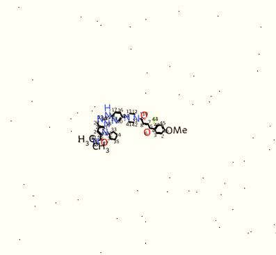 COc1ccc(C(=O)/C=C/C(=O)N2CCN(c3ccc(Nc4ncc5cc(C(=O)N(C)C)n(C6CCCC6)c5n4)nc3)CC2)c(F)c1